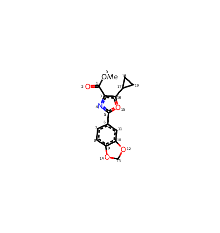 COC(=O)c1nc(-c2ccc3c(c2)OCO3)oc1C1CC1